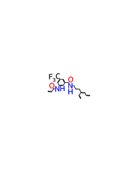 C=C/C=C(\C=C)CCCNC(=O)c1cc(NC(=O)C=C)cc(C(F)(F)F)c1